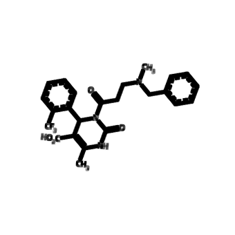 CC1=C(C(=O)O)C(c2ccccc2C(F)(F)F)N(C(=O)CCN(C)Cc2ccccc2)C(=O)N1